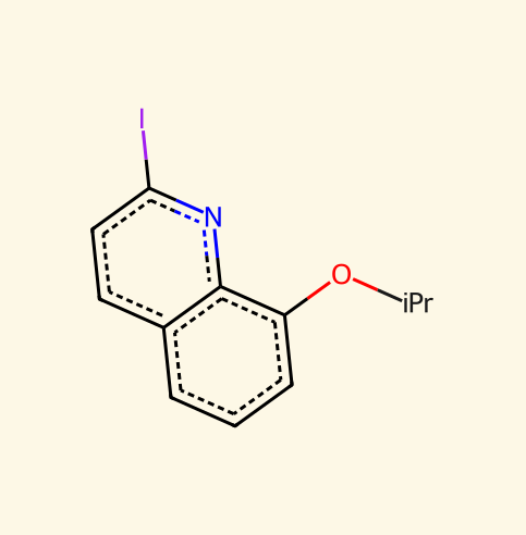 CC(C)Oc1cccc2ccc(I)nc12